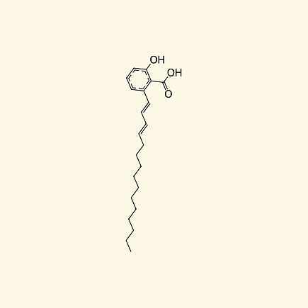 CCCCCCCCCCCC=CC=Cc1cccc(O)c1C(=O)O